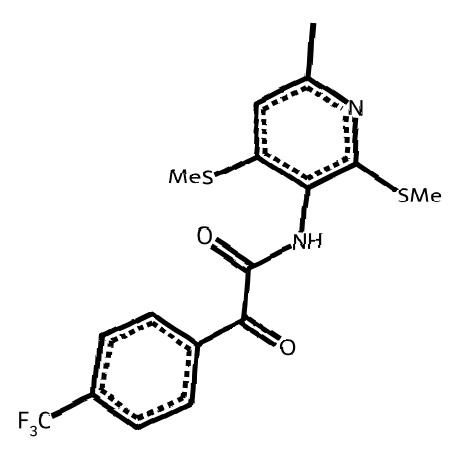 CSc1cc(C)nc(SC)c1NC(=O)C(=O)c1ccc(C(F)(F)F)cc1